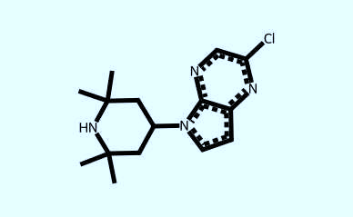 CC1(C)CC(n2ccc3nc(Cl)cnc32)CC(C)(C)N1